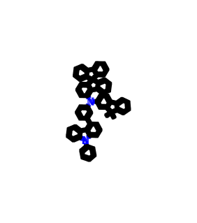 CC1(C)c2ccccc2-c2ccc(N(c3cccc(-c4cccc5c4c4ccccc4n5-c4ccccc4)c3)c3cccc4c3-c3ccccc3C43c4ccccc4-c4ccccc43)cc21